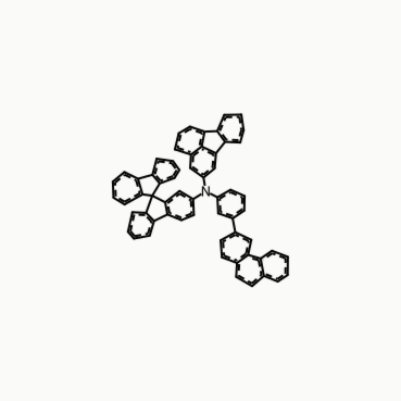 c1cc(-c2ccc3ccc4ccccc4c3c2)cc(N(c2ccc3c(c2)C2(c4ccccc4-c4ccccc42)c2ccccc2-3)c2cc3c4c(cccc4c2)-c2ccccc2-3)c1